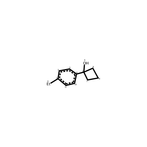 CCc1ccc(C2(O)CCC2)cc1